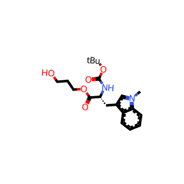 Cn1cc(C[C@@H](NC(=O)OC(C)(C)C)C(=O)OCCCO)c2ccccc21